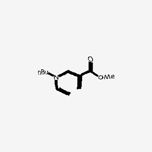 C=CN(CCCC)CC(=C)C(=O)OC